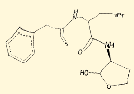 CC(C)CC(NC(=S)Cc1ccccc1)C(=O)N[C@H]1CCOC1O